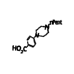 CCCCCN1CCN(c2ccc(C(=O)O)cc2)CC1